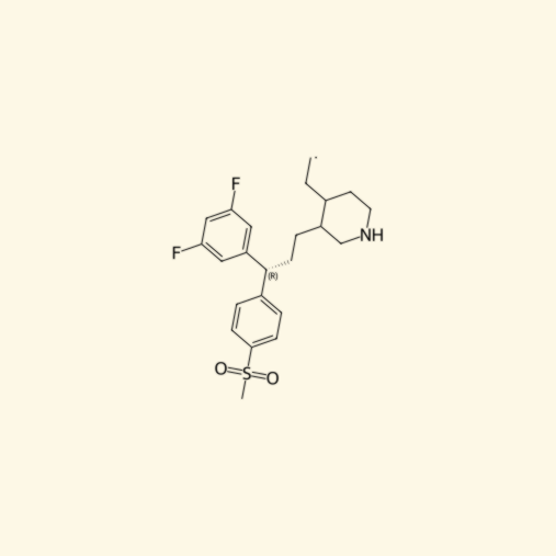 [CH2]CC1CCNCC1CC[C@H](c1ccc(S(C)(=O)=O)cc1)c1cc(F)cc(F)c1